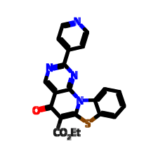 CCOC(=O)c1c(=O)c2cnc(-c3ccncc3)nc2n2c1sc1ccccc12